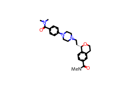 CNC(=O)c1ccc2c(c1)CCO[C@H]2CCN1CCN(c2ccc(C(=O)N(C)C)cc2)CC1